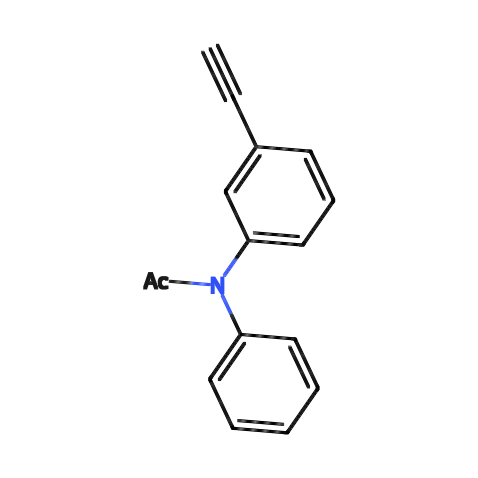 C#Cc1cccc(N(C(C)=O)c2ccccc2)c1